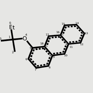 CCC(C)(C)Oc1cccc2cc3ccccc3cc12